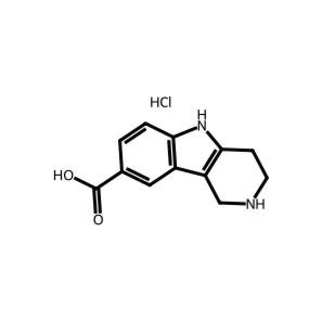 Cl.O=C(O)c1ccc2[nH]c3c(c2c1)CNCC3